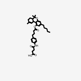 CCCCCc1cc(OC(=O)CCCc2ccc(NC(=O)CCC(=O)O)cc2)c2c(c1)OC(C)(C)C1CCC(C)=CC21